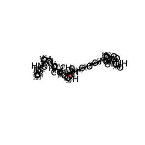 Cc1c(-c2ccc(N3CCc4cccc(C(=O)Nc5nc6ccccc6s5)c4C3)nc2C(=O)O)cnn1CC12CC3CC(C1)CC(C(=O)NCCOCCOCCOCCNc1cccc4c1C(=O)N(C1CCC(=O)NC1=O)C4=O)(C3)C2